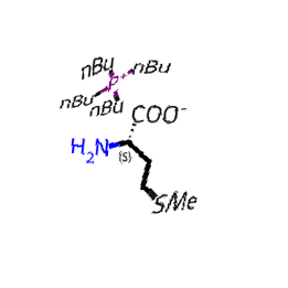 CCCC[P+](CCCC)(CCCC)CCCC.CSCC[C@H](N)C(=O)[O-]